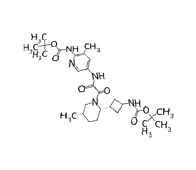 Cc1cc(NC(=O)C(=O)N2C[C@@H](C)CC[C@H]2C2CC(NC(=O)OC(C)(C)C)C2)cnc1NC(=O)OC(C)(C)C